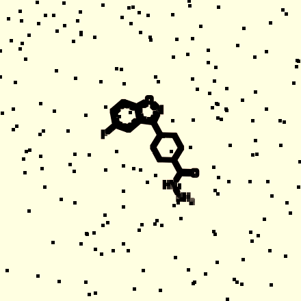 NNC(=O)C1CCC(c2noc3ccc(F)cc23)CC1